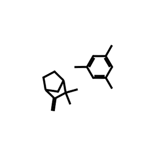 C=C1C2CCC(C2)C1(C)C.Cc1cc(C)cc(C)c1